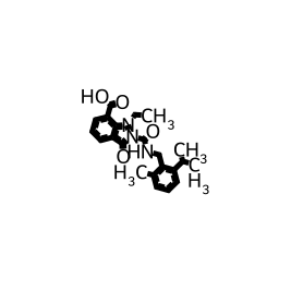 CCn1c2c(C(=O)O)cccc2c(=O)n1C(=O)NCc1c(C)cccc1C(C)C